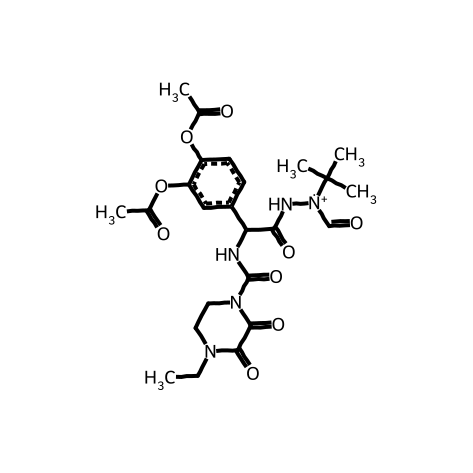 CCN1CCN(C(=O)NC(C(=O)N[N+](C=O)C(C)(C)C)c2ccc(OC(C)=O)c(OC(C)=O)c2)C(=O)C1=O